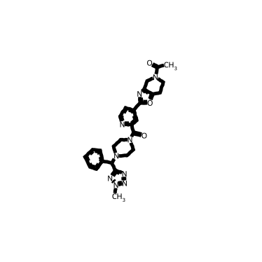 CC(=O)N1CCc2oc(-c3ccnc(C(=O)N4CCN(C(c5ccccc5)c5nnn(C)n5)CC4)c3)nc2C1